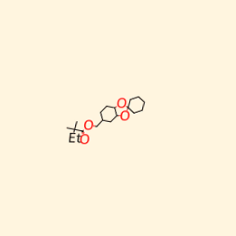 CCC(C)(C)C(=O)OCC1CCC2OC3(CCCCC3)OC2C1